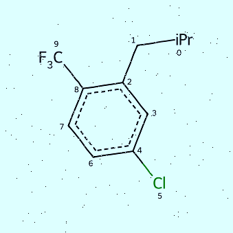 CC(C)Cc1cc(Cl)ccc1C(F)(F)F